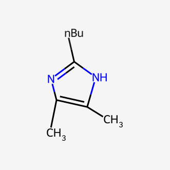 CCCCc1nc(C)c(C)[nH]1